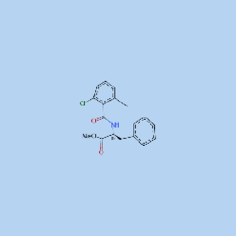 COC(=O)[C@H](Cc1ccccc1)NC(=O)c1c(C)cccc1Cl